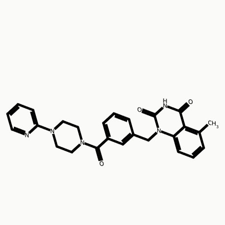 Cc1cccc2c1c(=O)[nH]c(=O)n2Cc1cccc(C(=O)N2CCN(c3ccccn3)CC2)c1